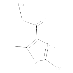 Cc1sc(Br)nc1C(=O)OC(C)(C)C